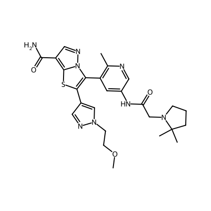 COCCn1cc(-c2sc3c(C(N)=O)cnn3c2-c2cc(NC(=O)CN3CCCC3(C)C)cnc2C)cn1